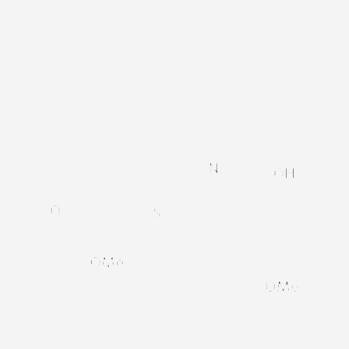 COCCC(O)n1c2ccccc2c2c(C)c(C(=O)OC)sc21